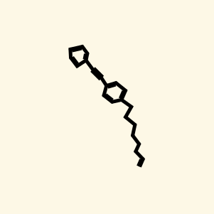 C=CCCCCCCc1ccc(C#Cc2ccccc2)cc1